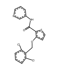 O=C(Nc1cccnc1)c1sccc1OCc1c(Cl)cccc1Cl